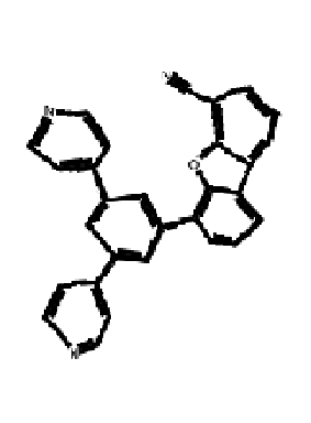 N#Cc1cccc2c1oc1c(-c3cc(-c4ccncc4)cc(-c4ccncc4)c3)cccc12